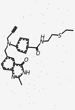 C#CCN(Cc1ccc2nc(C)[nH]c(=O)c2c1)c1ccc(C(=O)NCCSCC)cc1